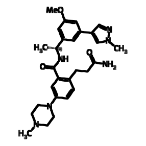 COc1cc(-c2cnn(C)c2)cc([C@@H](C)NC(=O)c2cc(N3CCN(C)CC3)ccc2CCC(N)=O)c1